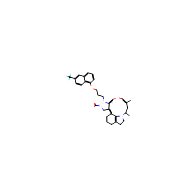 C/C1=C/O/C=C2\C(=C3\CCCC4=C3N(CC4)C(C)C1)CN(C(=O)O)N2CCCOc1cccc2cc(C(F)(F)F)ccc12